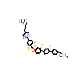 CCCCCc1cnc(-c2ccc(C(F)(F)Oc3ccc(-c4ccc(-c5ccc(CC)cc5)c(F)c4)c(F)c3)c(F)c2)nc1